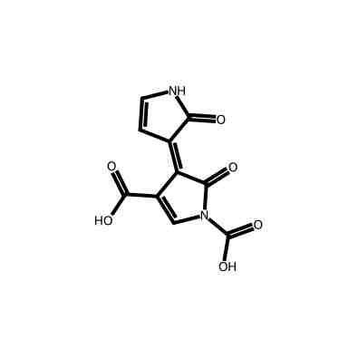 O=C(O)C1=CN(C(=O)O)C(=O)C1=C1C=CNC1=O